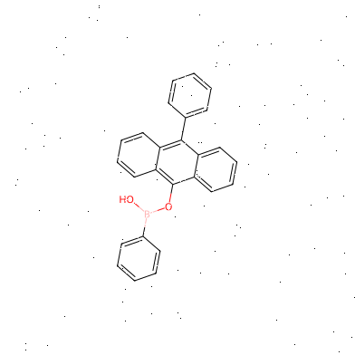 OB(Oc1c2ccccc2c(-c2ccccc2)c2ccccc12)c1ccccc1